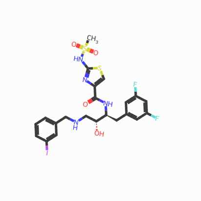 CS(=O)(=O)Nc1nc(C(=O)N[C@@H](Cc2cc(F)cc(F)c2)[C@H](O)CNCc2cccc(I)c2)cs1